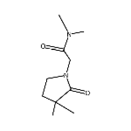 CN(C)C(=O)CN1CCC(C)(C)C1=O